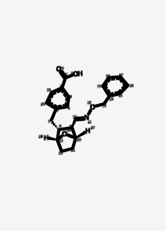 O=C(O)c1ccc(C[C@@H]2[C@@H](C=NOCc3ccccc3)[C@@H]3CC[C@H]2O3)cc1